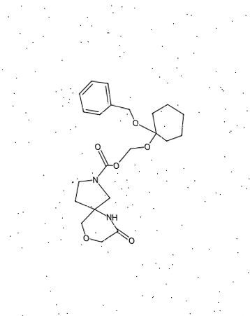 O=C1COCC2(CCN(C(=O)OCOC3(OCc4ccccc4)CCCCC3)C2)N1